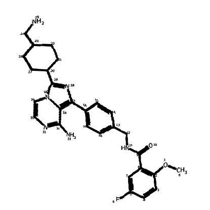 COc1ccc(F)cc1C(=O)NCc1ccc(-c2nc(C3CCC(CN)CC3)n3ccnc(N)c23)cc1